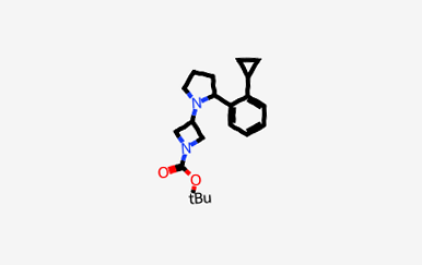 CC(C)(C)OC(=O)N1CC(N2CCCC2c2ccccc2C2CC2)C1